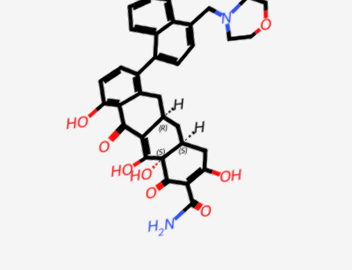 NC(=O)C1=C(O)C[C@@H]2C[C@@H]3Cc4c(-c5ccc(CN6CCOCC6)c6ccccc56)ccc(O)c4C(=O)C3=C(O)[C@]2(O)C1=O